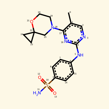 Cc1cnc(Nc2ccc(S(N)(=O)=O)cc2)nc1N1CCOC2(CC2)C1